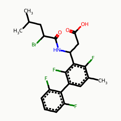 Cc1cc(-c2c(F)cccc2F)c(F)c(C(CC(=O)O)NC(=O)C(Br)CC(C)C)c1F